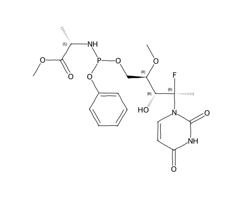 COC(=O)[C@H](C)NP(OC[C@@H](OC)[C@@H](O)[C@@](C)(F)n1ccc(=O)[nH]c1=O)Oc1ccccc1